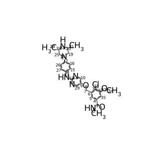 CNC(=O)c1cc(COc2cnc(Nc3ccc(N4C[C@@H](C)N[C@@H](C)C4)cc3)nc2)c(Cl)c(OC)c1